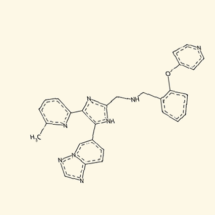 Cc1cccc(-c2nc(CNCc3ccccc3Oc3ccncc3)[nH]c2-c2ccc3ncnn3c2)n1